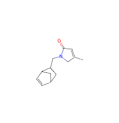 CC1=CC(=O)N(CC2CC3C=CC2C3)C1